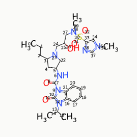 CCCC1CC(NC(=O)n2c(=O)n(C(C)C)c3ccccc32)CN1CC(O)CN(C)S(=O)(=O)c1cn(C)cn1